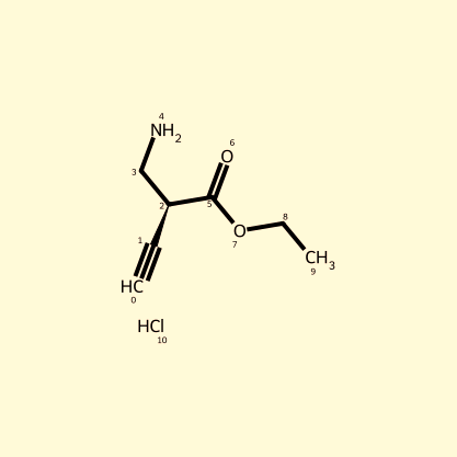 C#C[C@@H](CN)C(=O)OCC.Cl